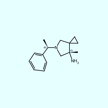 C[C@H](c1ccccc1)N1CC2(CC2)[C@](C)(N)C1